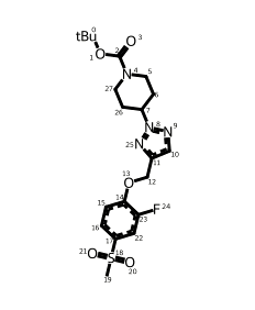 CC(C)(C)OC(=O)N1CCC(n2ncc(COc3ccc(S(C)(=O)=O)cc3F)n2)CC1